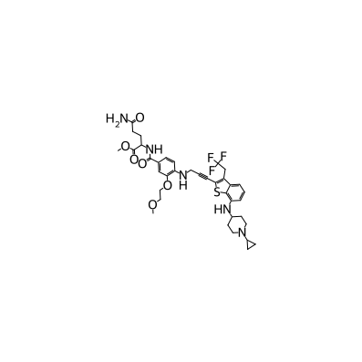 COCCOc1cc(C(=O)NC(CCC(N)=O)C(=O)OC)ccc1NCC#Cc1sc2c(NC3CCN(C4CC4)CC3)cccc2c1CC(F)(F)F